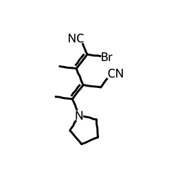 CC(=C(/Br)C#N)/C(CC#N)=C(\C)N1CCCC1